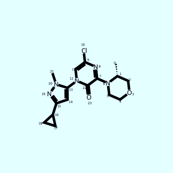 C[C@@H]1COCCN1c1nc(Cl)cn(-c2cc(C3CC3)nn2C)c1=O